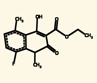 CCOC(=O)C1=C(O)c2c(C)ccc(F)c2C(C)C1=O